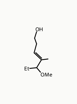 CCC(OC)C(C)=CCCO